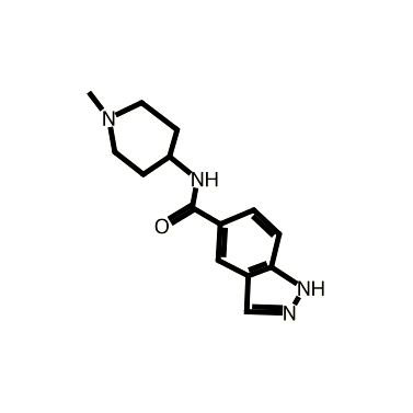 CN1CCC(NC(=O)c2ccc3[nH]ncc3c2)CC1